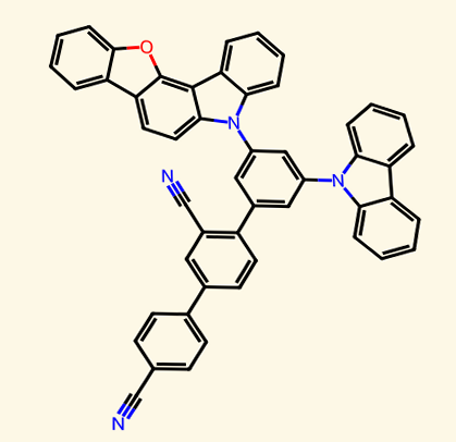 N#Cc1ccc(-c2ccc(-c3cc(-n4c5ccccc5c5ccccc54)cc(-n4c5ccccc5c5c6oc7ccccc7c6ccc54)c3)c(C#N)c2)cc1